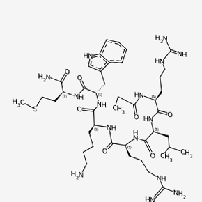 CCC(=O)N[C@@H](CCCNC(=N)N)C(=O)N[C@@H](CC(C)C)C(=O)N[C@@H](CCCNC(=N)N)C(=O)N[C@@H](CCCCN)C(=O)N[C@@H](Cc1c[nH]c2ccccc12)C(=O)N[C@@H](CCSC)C(N)=O